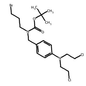 CC(C)(C)OC(=O)N(CCCBr)Cc1ccc(N(CCCl)CCCl)cc1